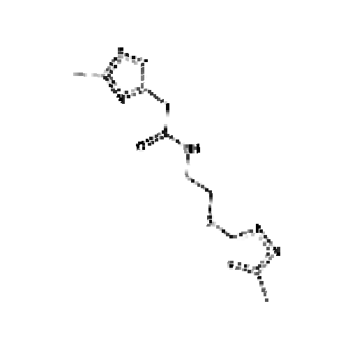 Cc1nc(CC(=O)NCCSc2nnc(C)s2)cs1